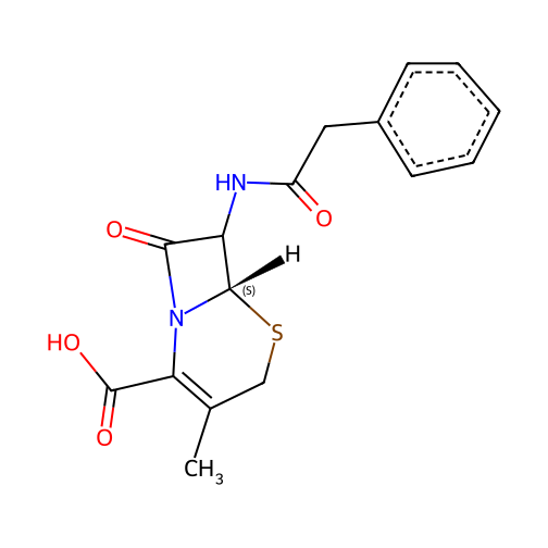 CC1=C(C(=O)O)N2C(=O)C(NC(=O)Cc3ccccc3)[C@@H]2SC1